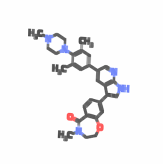 Cc1cc(-c2cnc3[nH]cc(-c4ccc5c(c4)OCCN(C)C5=O)c3c2)cc(C)c1N1CCN(C)CC1